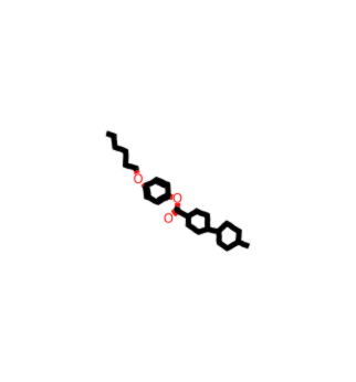 CCCCCCOc1ccc(OC(=O)C2CCC(C3CCC(C)CC3)CC2)cc1